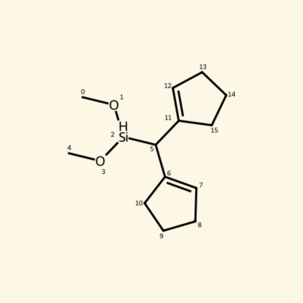 CO[SiH](OC)C(C1=CCCC1)C1=CCCC1